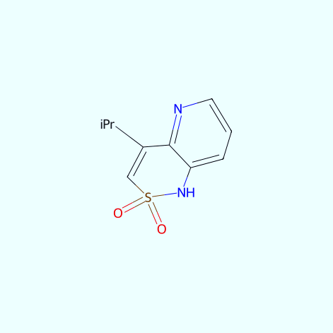 CC(C)C1=CS(=O)(=O)Nc2cccnc21